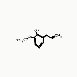 C=CCc1c[c]cc(OC)c1O